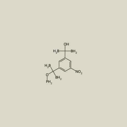 BC(B)(O)c1cc([N+](=O)[O-])cc(C(B)(B)OP)c1